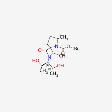 CC(O)[C@H]([C@@H](C)O)N1C(=O)C2(CCC(C)N2C(=O)OC(C)(C)C)C1C